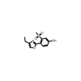 CCc1coc(-c2ccc(O)cc2S(C)(=O)=O)n1